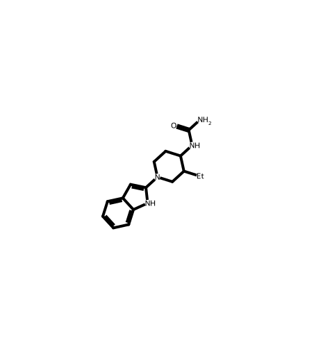 CCC1CN(c2cc3ccccc3[nH]2)CCC1NC(N)=O